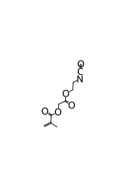 C=C(C)C(=O)OCC(=O)OCCN=C=O